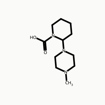 CN1CCN(C2CCCCN2C(=O)O)CC1